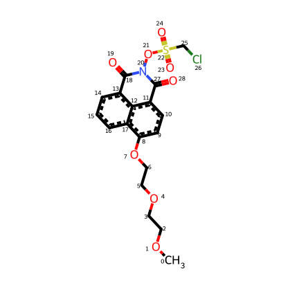 COCCOCCOc1ccc2c3c(cccc13)C(=O)N(OS(=O)(=O)CCl)C2=O